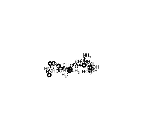 Cc1c(-c2ccc(N3CCc4cccc(C(=O)Nc5nc6ccccc6s5)c4C3)nc2C(=O)O)cnn1CC12CC3(C)CC(C)(C1)CC(OCCN(C)C(=O)OCc1ccc(O[C@@H]4O[C@H](C(=O)O)[C@@H](O)[C@H](O)[C@H]4O)c(NC(=O)CCN)c1)(C3)C2